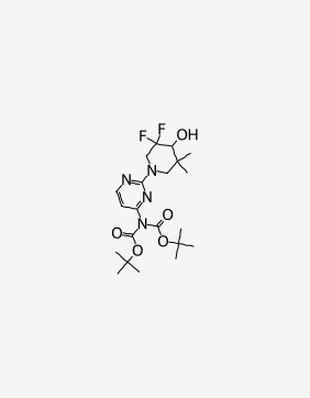 CC(C)(C)OC(=O)N(C(=O)OC(C)(C)C)c1ccnc(N2CC(C)(C)C(O)C(F)(F)C2)n1